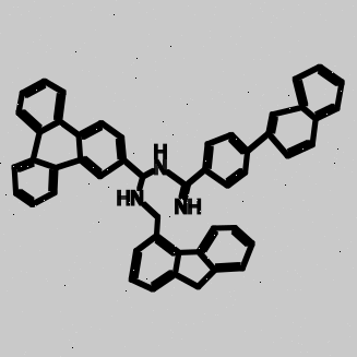 N=C(NC(NCc1cccc2c1-c1ccccc1C2)c1ccc2c3ccccc3c3ccccc3c2c1)c1ccc(-c2ccc3ccccc3c2)cc1